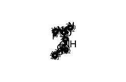 O=C(Nc1ccc(C2S/C(=N\c3cccc(F)c3)N(Cc3cccnc3)C2=O)cc1)[C@@H]1CCCN1C(=O)OCc1ccccc1